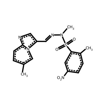 Cc1ccc2ncc(C=NN(C)S(=O)(=O)c3cc([N+](=O)[O-])ccc3C)n2c1